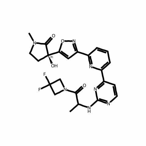 CC(Nc1nccc(-c2cccc(-c3cc([C@]4(O)CCN(C)C4=O)on3)n2)n1)C(=O)N1CC(F)(F)C1